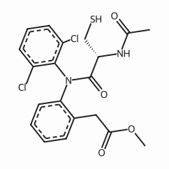 COC(=O)Cc1ccccc1N(C(=O)[C@H](CS)NC(C)=O)c1c(Cl)cccc1Cl